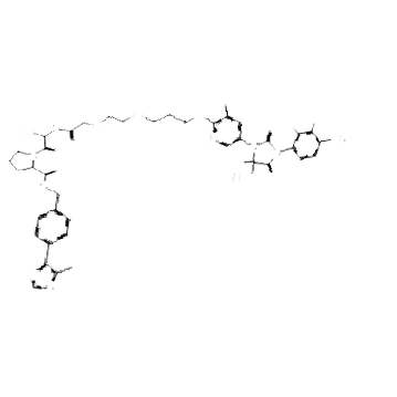 Cc1cc(N2C(=S)N(c3ccc(C#N)c(C(F)(F)F)c3F)C(=O)C2(C)C)cnc1OCCCOCCOCC(=O)NC(C(=O)N1CCCC1C(=O)NCc1ccc(-c2scnc2C)cc1)C(C)(C)C